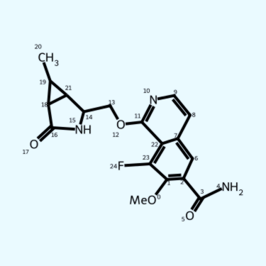 COc1c(C(N)=O)cc2ccnc(OCC3NC(=O)C4C(C)C34)c2c1F